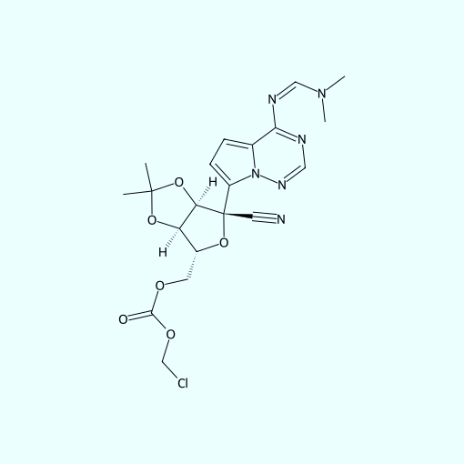 CN(C)/C=N\c1ncnn2c([C@]3(C#N)O[C@H](COC(=O)OCCl)[C@H]4OC(C)(C)O[C@H]43)ccc12